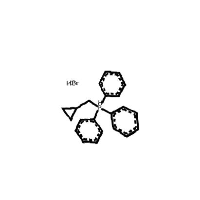 Br.c1ccc([PH](CC2CC2)(c2ccccc2)c2ccccc2)cc1